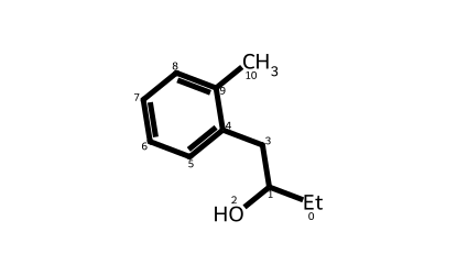 CCC(O)Cc1ccccc1C